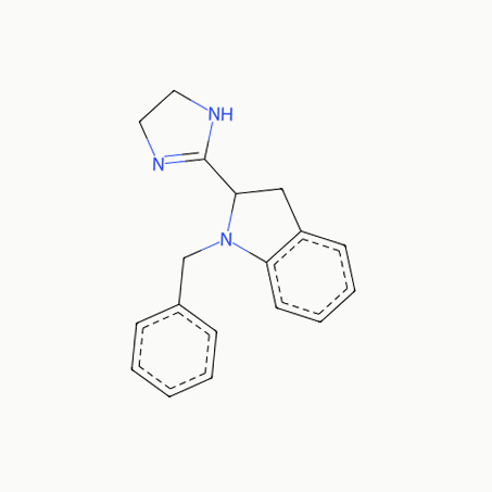 c1ccc(CN2c3ccccc3CC2C2=NCCN2)cc1